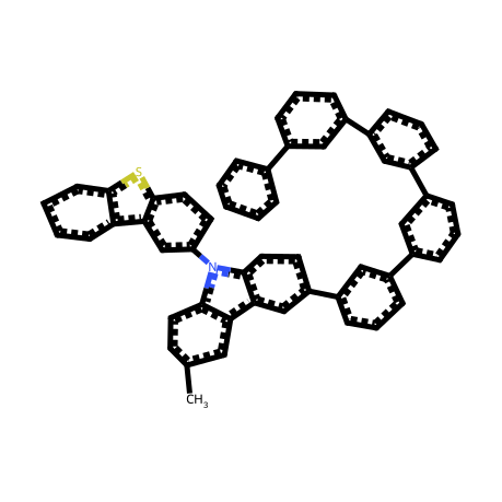 Cc1ccc2c(c1)c1cc(-c3cccc(-c4cccc(-c5cccc(-c6cccc(-c7ccccc7)c6)c5)c4)c3)ccc1n2-c1ccc2sc3ccccc3c2c1